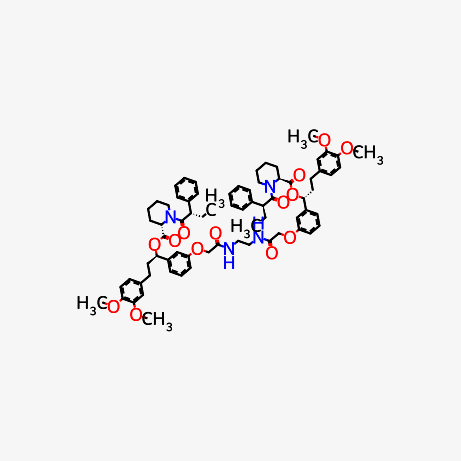 CC[C@H](C(=O)N1CCCC[C@H]1C(=O)O[C@H](CCc1ccc(OC)c(OC)c1)c1cccc(OCC(=O)NCCNC(=O)COc2cccc([C@@H](CCc3ccc(OC)c(OC)c3)OC(=O)[C@@H]3CCCCN3C(=O)[C@@H](CC)c3ccccc3)c2)c1)c1ccccc1